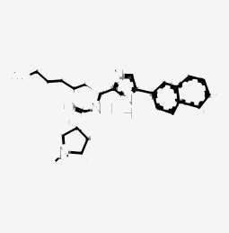 CC(=O)CCCCC[C@H](NC(=O)[C@@H]1CCN(C)C1)c1ncc(-c2ccc3ccccc3c2)[nH]1